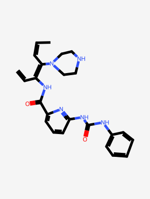 C=C/C(NC(=O)c1cccc(NC(=O)Nc2ccccc2)n1)=C(\C=C/C)N1CCNCC1